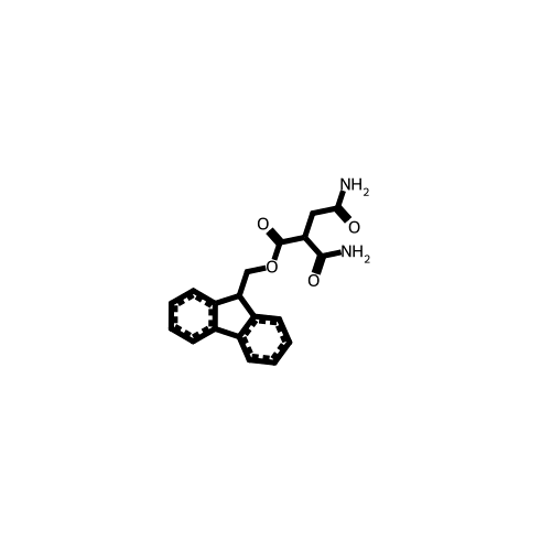 NC(=O)CC(C(N)=O)C(=O)OCC1c2ccccc2-c2ccccc21